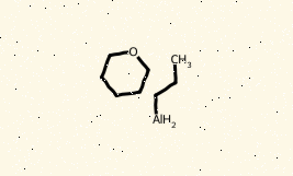 C1CCOCC1.CC[CH2][AlH2]